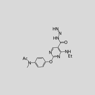 CCNc1nc(Oc2ccc(N(C)C(C)=O)cc2)ncc1C(=O)NN=N